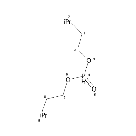 CC(C)CCO[PH](=O)OCCC(C)C